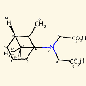 CC1[C@H]2CCCC1(N(CC(=O)O)CC(=O)O)[C@H]2C